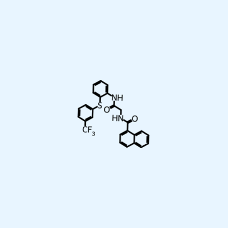 O=C(CNC(=O)c1cccc2ccccc12)Nc1ccccc1Sc1cccc(C(F)(F)F)c1